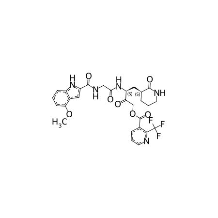 COc1cccc2[nH]c(C(=O)NCC(=O)N[C@@H](C[C@@H]3CCCNC3=O)C(=O)COC(=O)c3cccnc3C(F)(F)F)cc12